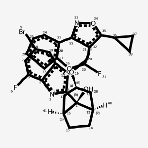 O[C@@]1(c2nc3c(F)cc(Br)cc3s2)[C@@H]2CC[C@H]1C[C@@H](OCc1c(-c3ccccc3OC(F)F)noc1C1CC1)C2